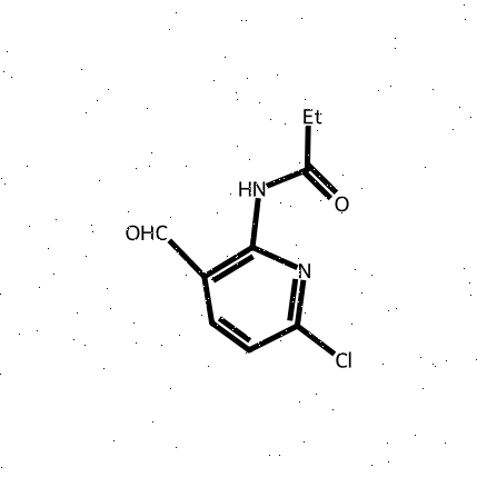 CCC(=O)Nc1nc(Cl)ccc1C=O